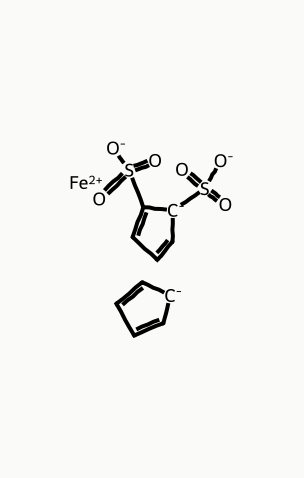 O=S(=O)([O-])c1ccc[c-]1S(=O)(=O)[O-].[Fe+2].c1cc[cH-]c1